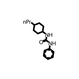 CCCC1CCC(NC(=O)Nc2ccccc2)CC1